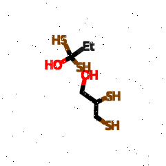 CCC(O)(S)S.OCC(S)CS